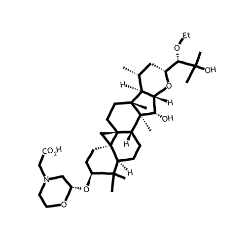 CCO[C@@H]([C@H]1C[C@@H](C)[C@H]2[C@H](O1)[C@H](O)[C@@]1(C)[C@@H]3CC[C@H]4C(C)(C)[C@@H](O[C@H]5CN(CC(=O)O)CCO5)CC[C@@]45C[C@@]35CC[C@]21C)C(C)(C)O